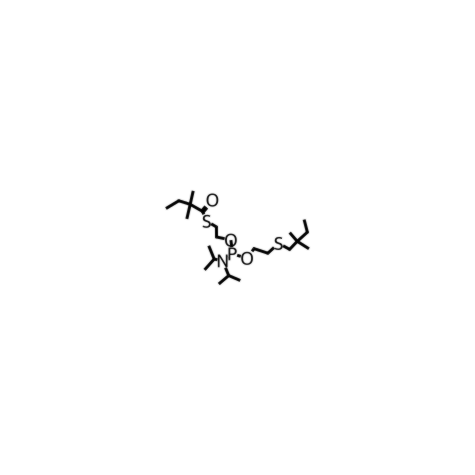 CCC(C)(C)CSCCOP(OCCSC(=O)C(C)(C)CC)N(C(C)C)C(C)C